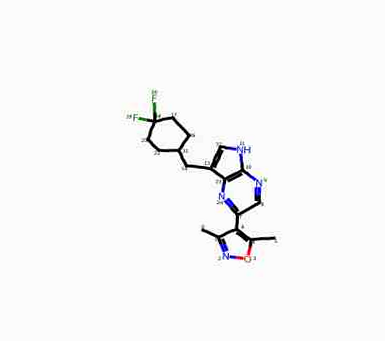 Cc1noc(C)c1-c1cnc2[nH]cc(CC3CCC(F)(F)CC3)c2n1